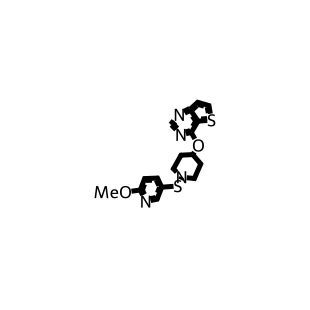 COc1ccc(SN2CCC(Oc3ncnc4ccsc34)CC2)cn1